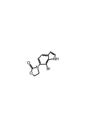 O=C1OCCN1c1ccc2cc[nH]c2c1Br